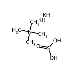 C[N+](C)(C)C.O=S(O)O.[KH].[KH]